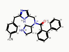 N#Cc1ccc(Cc2ncc(CN(C(=O)c3ccccc3-c3ccccc3)C3CCNC3)[nH]2)cc1